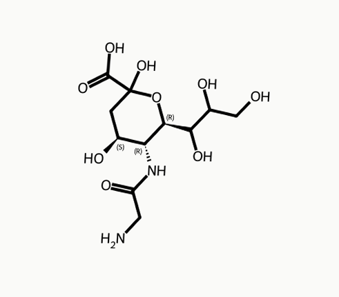 NCC(=O)N[C@@H]1[C@@H](O)CC(O)(C(=O)O)O[C@H]1C(O)C(O)CO